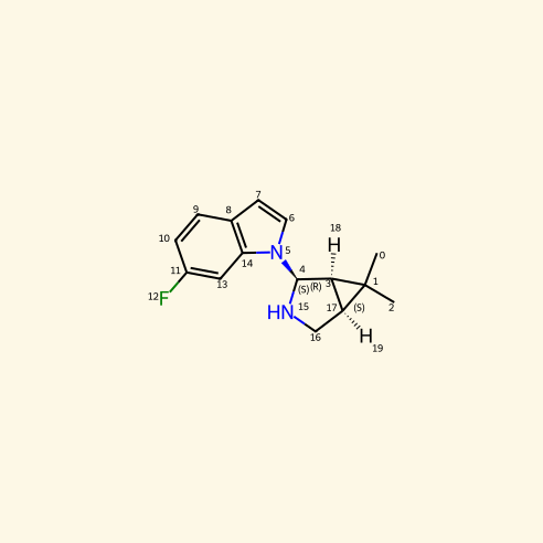 CC1(C)[C@@H]2[C@H](n3ccc4ccc(F)cc43)NC[C@@H]21